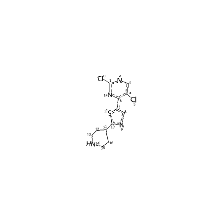 Clc1ncc(Cl)c(-c2cnc(C3CCNCC3)s2)n1